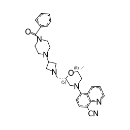 C[C@@H]1CN(c2ccc(C#N)c3ncccc23)C[C@H](CN2CC(N3CCN(C(=O)c4ccccc4)CC3)C2)O1